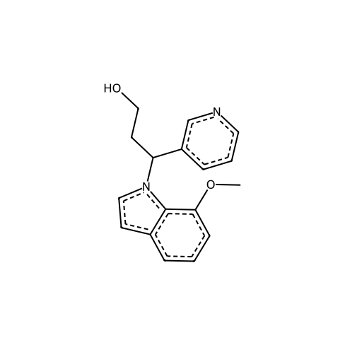 COc1cccc2ccn(C(CCO)c3cccnc3)c12